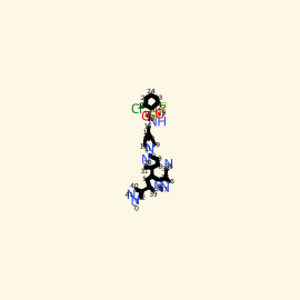 Cn1cc(-c2cc(-c3ccc(N4CC5C(CNS(=O)(=O)c6c(F)cccc6Cl)C5C4)nc3)c3c(C#N)cnn3c2)cn1